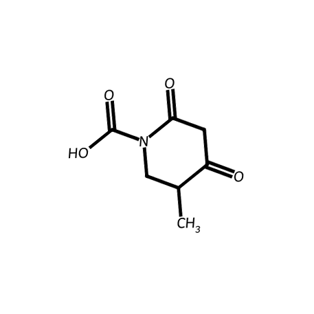 CC1CN(C(=O)O)C(=O)CC1=O